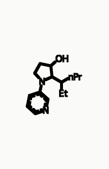 CCCC(CC)C1C(O)CCN1c1cccnc1